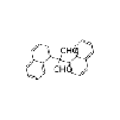 O=CC(C=O)(c1cccc2ccccc12)c1cccc2ccccc12